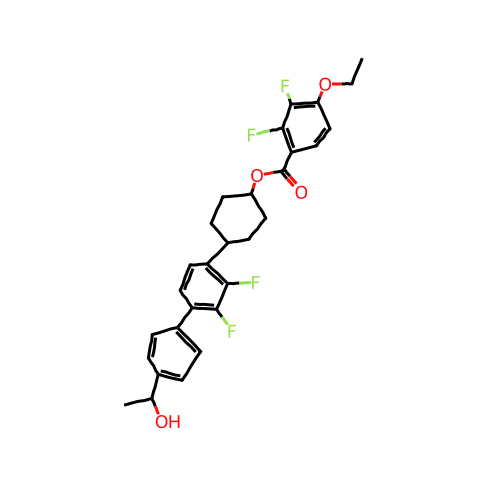 CCOc1ccc(C(=O)OC2CCC(c3ccc(-c4ccc(C(C)O)cc4)c(F)c3F)CC2)c(F)c1F